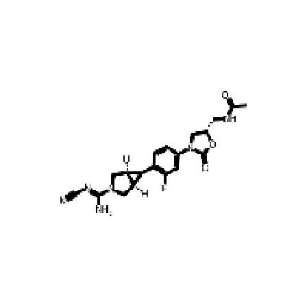 CC(=O)NC[C@H]1CN(c2ccc(C3[C@H]4CN(/C(N)=N/C#N)C[C@@H]34)c(F)c2)C(=O)O1